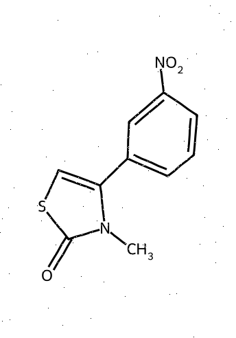 Cn1c(-c2cccc([N+](=O)[O-])c2)csc1=O